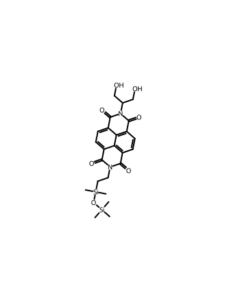 C[Si](C)(C)O[Si](C)(C)CCN1C(=O)c2ccc3c4c(ccc(c24)C1=O)C(=O)N(C(CO)CO)C3=O